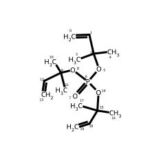 C=CC(C)(C)OP(=O)(OC(C)(C)C=C)OC(C)(C)C=C